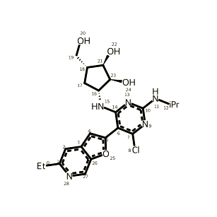 CCc1cc2cc(-c3c(Cl)nc(NC(C)C)nc3N[C@@H]3C[C@H](CO)[C@@H](O)[C@H]3O)oc2cn1